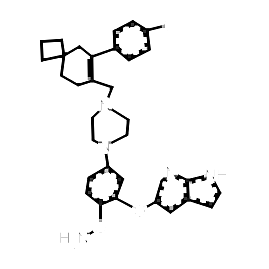 NOc1ccc(N2CCN(CC3=C(c4ccc(Cl)cc4)CC4(CCC4)CC3)CC2)cc1Oc1cnc2[nH]ccc2c1